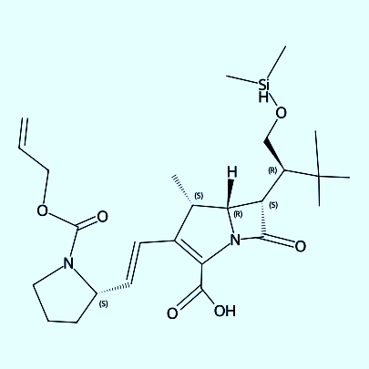 C=CCOC(=O)N1CCC[C@H]1C=CC1=C(C(=O)O)N2C(=O)[C@@H]([C@@H](CO[SiH](C)C)C(C)(C)C)[C@H]2[C@H]1C